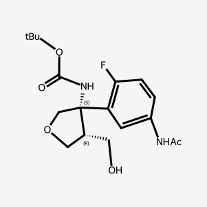 CC(=O)Nc1ccc(F)c([C@]2(NC(=O)OC(C)(C)C)COC[C@H]2CO)c1